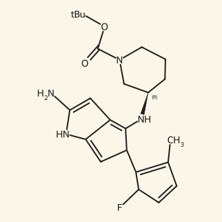 CC1=C(C2C=c3[nH]c(N)cc3=C2N[C@@H]2CCCN(C(=O)OC(C)(C)C)C2)C(F)C=C1